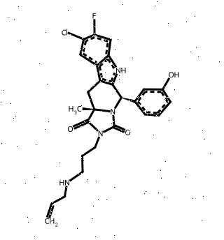 C=CCNCCCN1C(=O)N2[C@H](c3cccc(O)c3)c3[nH]c4cc(F)c(Cl)cc4c3C[C@@]2(C)C1=O